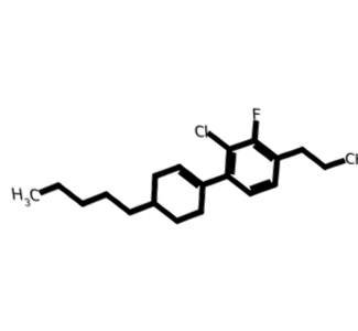 CCCCCC1CC=C(c2ccc(CCC)c(F)c2Cl)CC1